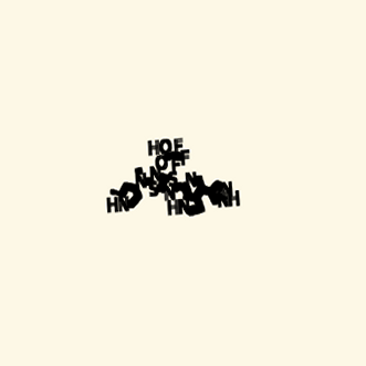 C[C@H]1C[C@@H](N(C)c2nc3sc(-c4ncc(-c5cn[nH]c5)c5cc[nH]c45)nc3s2)CCN1.O=C(O)C(F)(F)F